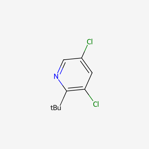 CC(C)(C)c1ncc(Cl)cc1Cl